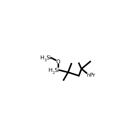 CCCC(C)(C)CC(C)(C)[SiH2]O[SiH3]